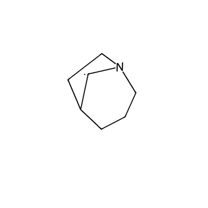 [CH]1C2CCCN1CC2